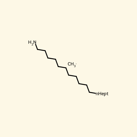 CCCCCCCCCCCCCCCCCCN.[CH3]